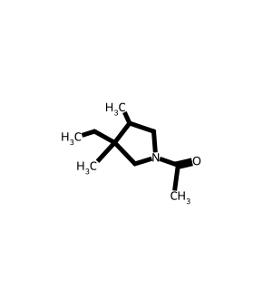 CCC1(C)CN(C(C)=O)CC1C